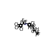 O=C(CCC(F)(F)F)NNC(=O)c1ccc(/C(F)=C/C(c2cc(Cl)c(Cl)c(Cl)c2)C(F)(F)F)cc1Cl